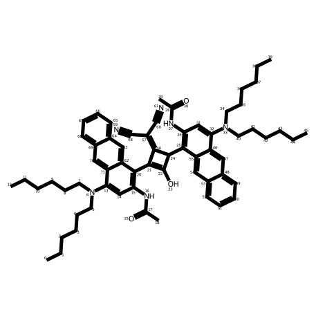 CCCCCCN(CCCCCC)c1cc(NC(C)=O)c(C2=C(O)C(c3c(NC(C)=O)cc(N(CCCCCC)CCCCCC)c4cc5ccccc5cc34)C2=C(C#N)C#N)c2cc3ccccc3cc12